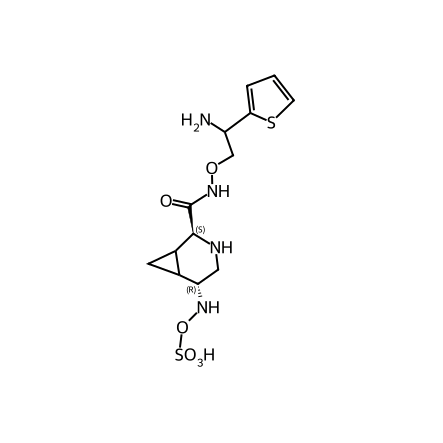 NC(CONC(=O)[C@H]1NC[C@H](NOS(=O)(=O)O)C2CC21)c1cccs1